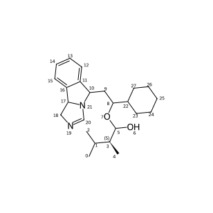 CC(C)[C@H](C)C(O)OC(CC1c2ccccc2C2CN=CN21)C1CCCCC1